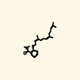 CC(C)=CCCC(C)=CCCC(C)=CCSc1ccccc1C(=O)N(C)C